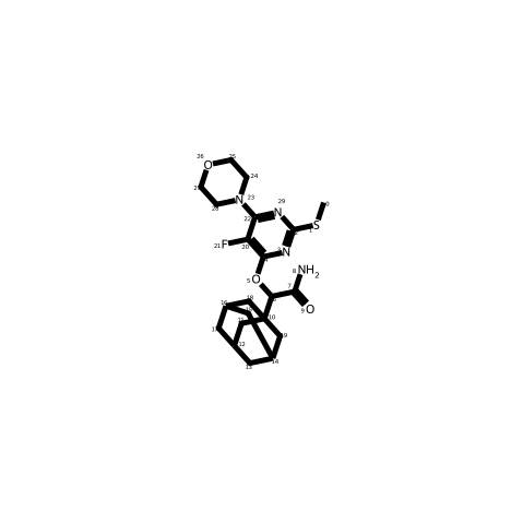 CSc1nc(OC(C(N)=O)C23CC4CC(CC(C4)C2)C3)c(F)c(N2CCOCC2)n1